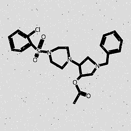 CC(=O)OC1CN(Cc2ccccc2)CC1N1CCN(S(=O)(=O)c2ccccc2Cl)CC1